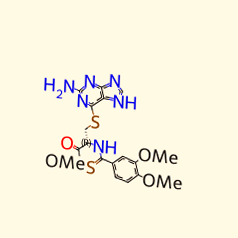 COC(=O)[C@H](CSc1nc(N)nc2nc[nH]c12)NC(=S)c1ccc(OC)c(OC)c1